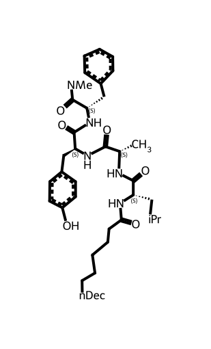 CCCCCCCCCCCCCCCC(=O)N[C@@H](CC(C)C)C(=O)N[C@@H](C)C(=O)N[C@@H](Cc1ccc(O)cc1)C(=O)N[C@@H](Cc1ccccc1)C(=O)NC